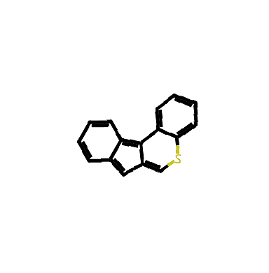 c1ccc2c3c4ccccc4scc-3cc2c1